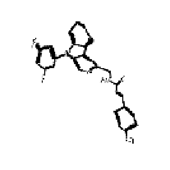 O=C(/C=C/c1ccc(Cl)cc1)NCc1cc2c3ccccc3n(-c3cc(F)cc(F)c3)c2cn1